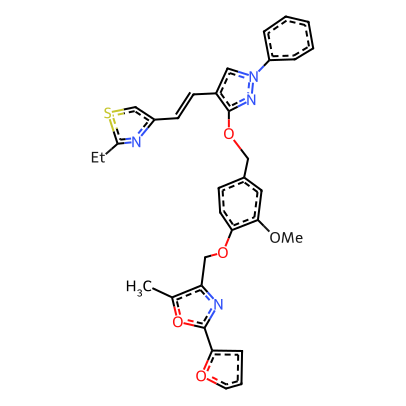 CCc1nc(/C=C/c2cn(-c3ccccc3)nc2OCc2ccc(OCc3nc(-c4ccco4)oc3C)c(OC)c2)cs1